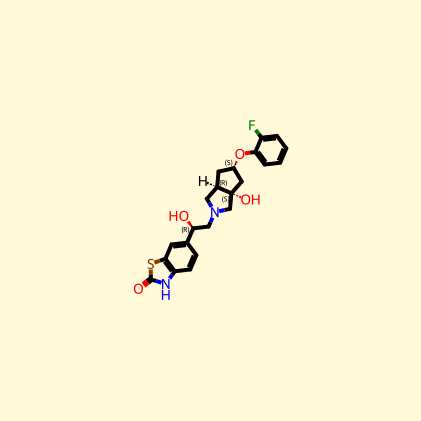 O=c1[nH]c2ccc([C@@H](O)CN3C[C@H]4C[C@H](Oc5ccccc5F)C[C@@]4(O)C3)cc2s1